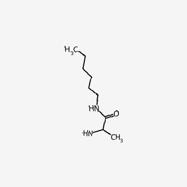 CCCCCCNC(=O)C(C)[NH]